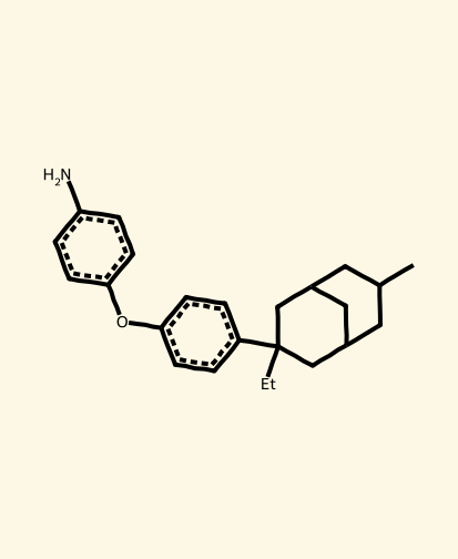 CCC1(c2ccc(Oc3ccc(N)cc3)cc2)CC2CC(C)CC(C2)C1